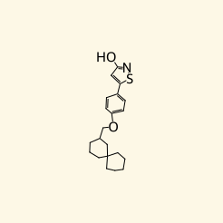 Oc1cc(-c2ccc(OCC3CCCC4(CCCCC4)C3)cc2)sn1